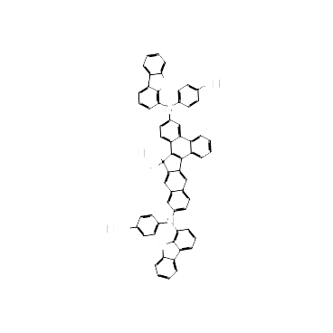 Cc1ccc(N(c2ccc3cc4c(cc3c2)C(C)(C)c2c-4c3ccccc3c3cc(N(c4ccc(C)cc4)c4cccc5c4oc4ccccc45)ccc23)c2cccc3c2oc2ccccc23)cc1